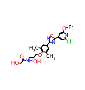 Cc1cc(-c2noc(-c3cc(Cl)nc(OC(C)C)c3)n2)cc(C)c1OC[C@@H](O)CNC(=O)CO